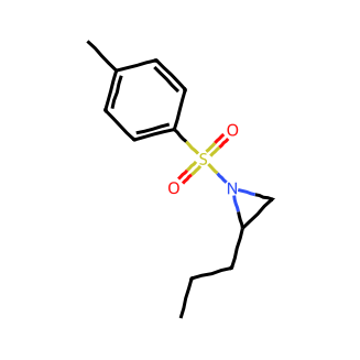 CCCC1CN1S(=O)(=O)c1ccc(C)cc1